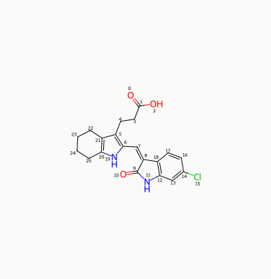 O=C(O)CCc1c(C=C2C(=O)Nc3cc(Cl)ccc32)[nH]c2c1CCCC2